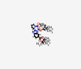 CC(C)(C)OC(=O)N1CCC[C@H]1c1nc2ccc(B3OC(C)(C)C(C)(C)O3)cc2n1COCC[Si](C)(C)C